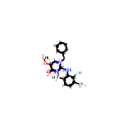 COc1cn(Cc2ccccc2)c(Nc2c(C)ccc(C)c2F)nc1=O